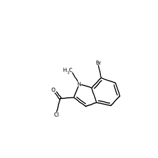 Cn1c(C(=O)Cl)cc2cccc(Br)c21